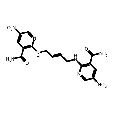 NC(=O)c1cc([N+](=O)[O-])cnc1NCC=CCNc1ncc([N+](=O)[O-])cc1C(N)=O